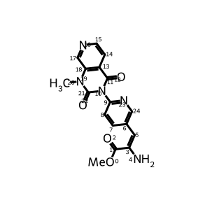 COC(=O)/C(N)=C\c1ccc(-n2c(=O)c3ccncc3n(C)c2=O)nc1